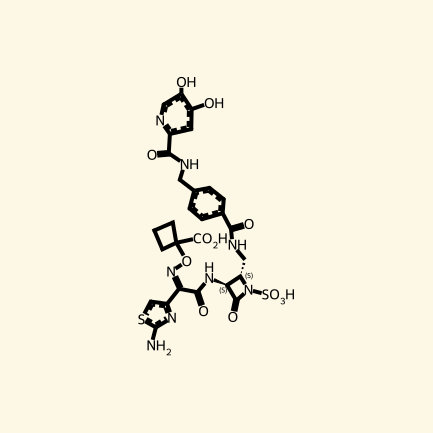 Nc1nc(C(=NOC2(C(=O)O)CCC2)C(=O)N[C@@H]2C(=O)N(S(=O)(=O)O)[C@H]2CNC(=O)c2ccc(CNC(=O)c3cc(O)c(O)cn3)cc2)cs1